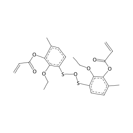 C=CC(=O)Oc1c(C)ccc(SOSc2ccc(C)c(OC(=O)C=C)c2OCC)c1OCC